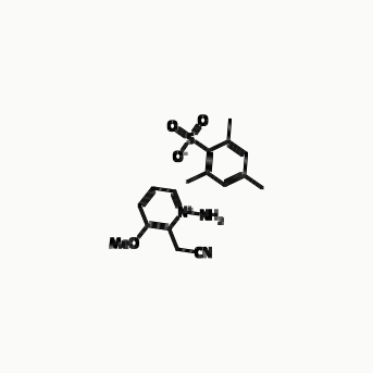 COc1ccc[n+](N)c1CC#N.Cc1cc(C)c(S(=O)(=O)[O-])c(C)c1